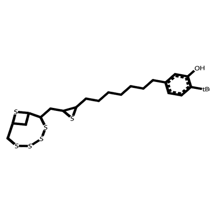 CC(C)(C)c1ccc(CCCCCCCC2SC2CC2SSSSCC3CC2S3)cc1O